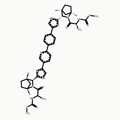 COC(=O)NC(C)C(=O)N1[C@@H]2CC[C@@H](C2)[C@H]1c1nc(-c2ccc(-c3ccc(-c4c[nH]c([C@@H]5[C@H]6CC[C@H](C6)N5C(=O)[C@H](C)NC(=O)OC)n4)cc3)nc2)c[nH]1